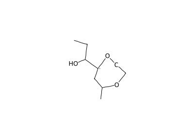 CCC(O)[C]1CC(C)OCCO1